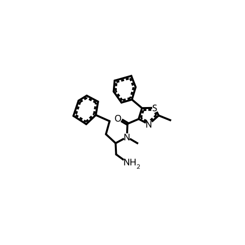 Cc1nc(C(=O)N(C)C(CN)CCc2ccccc2)c(-c2ccccc2)s1